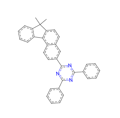 CC1(C)c2ccccc2-c2c1ccc1cc(-c3nc(-c4ccccc4)nc(-c4ccccc4)n3)ccc21